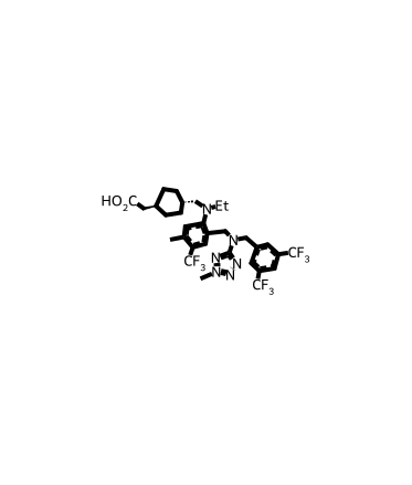 CCN(C[C@H]1CC[C@H](CC(=O)O)CC1)c1cc(C)c(C(F)(F)F)cc1CN(Cc1cc(C(F)(F)F)cc(C(F)(F)F)c1)c1nnn(C)n1